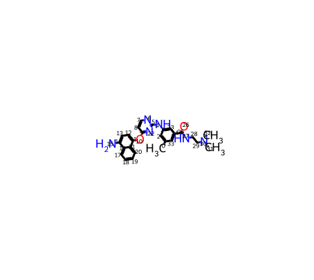 Cc1cc(Nc2nccc(Oc3ccc(N)c4ccccc34)n2)cc(C(=O)NCCN(C)C)c1